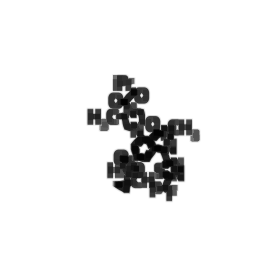 CC(C)C(=O)C(=O)N1CCN(c2cc(S(=O)(=O)NC3(C)CC3)cc3c(-c4nnc(C(F)F)s4)nn(C)c(=O)c23)CC1C